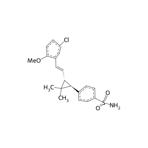 COc1ccc(Cl)cc1/C=C/[C@@H]1[C@@H](c2ccc(S(N)(=O)=O)cc2)C1(C)C